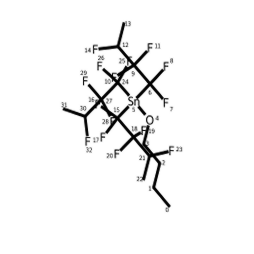 CCCC[O][Sn]([C](F)(F)C(F)(F)C(C)F)([C](F)(F)C(F)(F)C(C)F)[C](F)(F)C(F)(F)C(C)F